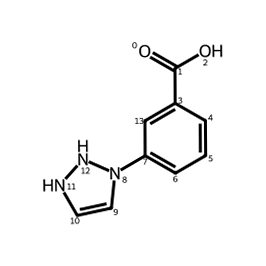 O=C(O)c1cccc(N2C=CNN2)c1